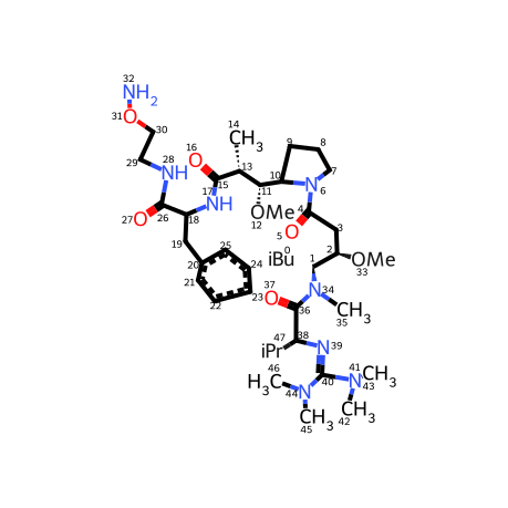 CC[C@H](C)[C@@H]([C@@H](CC(=O)N1CCCC1[C@H](OC)[C@@H](C)C(=O)NC(Cc1ccccc1)C(=O)NCCON)OC)N(C)C(=O)C(N=C(N(C)C)N(C)C)C(C)C